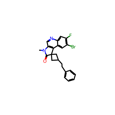 CN1C(=O)C2(CC(CCc3ccccc3)C2)c2c1cnc1cc(F)c(Br)cc21